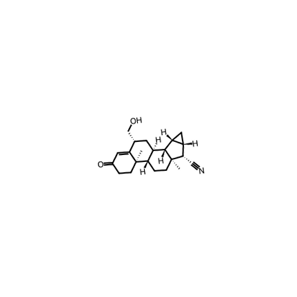 C[C@]12CC[C@H]3[C@@H](C[C@@H](CO)C4=CC(=O)CC[C@@]43C)[C@@H]1[C@@H]1C[C@@H]1[C@@H]2C#N